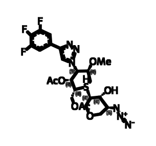 CO[C@H]1C[SH]([C@@H]2COC[C@H](N=[N+]=[N-])[C@H]2O)[C@H](COC(C)=O)[C@H](OC(C)=O)[C@H]1n1cc(-c2cc(F)c(F)c(F)c2)nn1